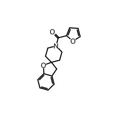 O=C(c1ccco1)N1CCC2(CC1)Cc1ccccc1O2